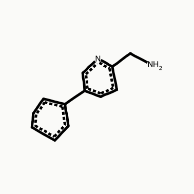 NCc1ccc(-c2ccccc2)cn1